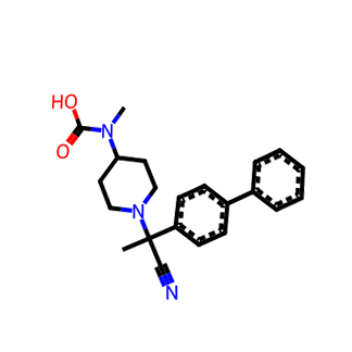 CN(C(=O)O)C1CCN(C(C)(C#N)c2ccc(-c3ccccc3)cc2)CC1